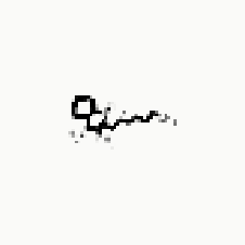 C=C1C2=CC=C=CC=C2N(C)C(CCCCCCC)=C1C